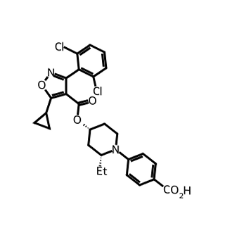 CC[C@@H]1C[C@H](OC(=O)c2c(-c3c(Cl)cccc3Cl)noc2C2CC2)CCN1c1ccc(C(=O)O)cc1